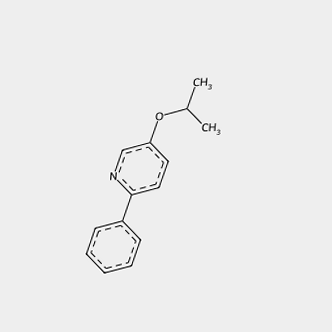 CC(C)Oc1ccc(-c2ccccc2)nc1